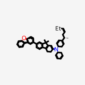 CC/C=C\C[C@H](C)C1=CC[C@@H](N(C2=CC3=C(CC2)c2ccc(-c4c#cc5oc6ccccc6c5c4)cc2C3(C)C)[C@H]2C=CC=CC2)C=C1